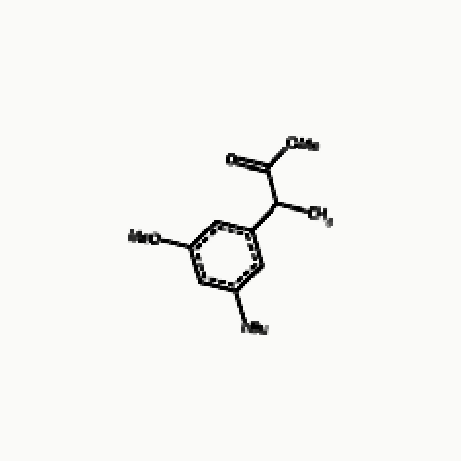 CCCCc1cc(OC)cc(C(C)C(=O)OC)c1